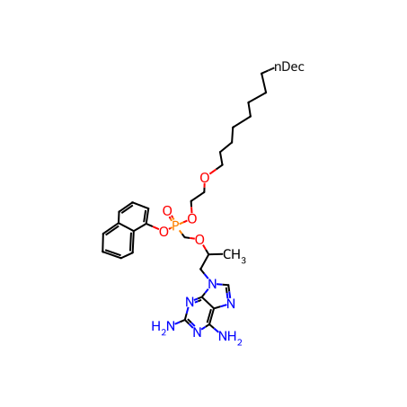 CCCCCCCCCCCCCCCCCCOCCOP(=O)(COC(C)Cn1cnc2c(N)nc(N)nc21)Oc1cccc2ccccc12